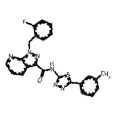 Cc1cccc(-c2nnc(NC(=O)c3nn(Cc4ccccc4F)c4ncccc34)s2)c1